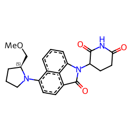 COC[C@@H]1CCCN1c1ccc2c3c(cccc13)N(C1CCC(=O)NC1=O)C2=O